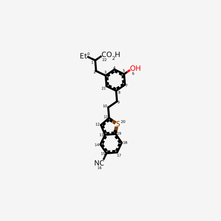 CCC(Cc1cc(O)cc(CCc2cc3cc(C#N)ccc3s2)c1)C(=O)O